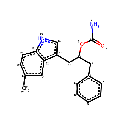 NC(=O)OC(Cc1ccccc1)Cc1c[nH]c2ccc(C(F)(F)F)cc12